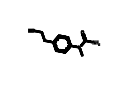 CN(C(N)=O)c1ccc(CCO)cc1